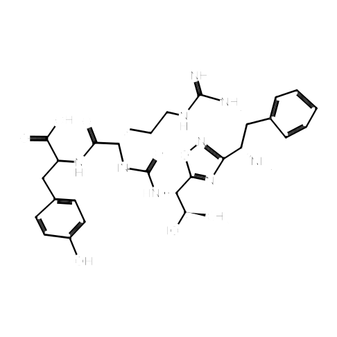 C[C@@H](O)[C@H](NC(=O)N[C@@H](CCCNC(=N)N)C(=O)NC(Cc1ccc(O)cc1)C(=O)O)c1nc([C@@H](N)Cc2ccccc2)no1